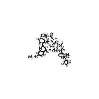 C=CC1C[C@]1(NC(=O)[C@@H]1CC(Oc2cc(-c3ccccc3)nc3cc(OC)ccc23)CN1C(=O)[C@@H](NC(=O)OC(C)(C)C)C1CO1)C(=O)NS(=O)(=O)c1ccccc1